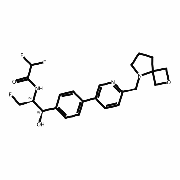 O=C(N[C@H](CF)[C@H](O)c1ccc(-c2ccc(CN3CCCC34COC4)nc2)cc1)C(F)F